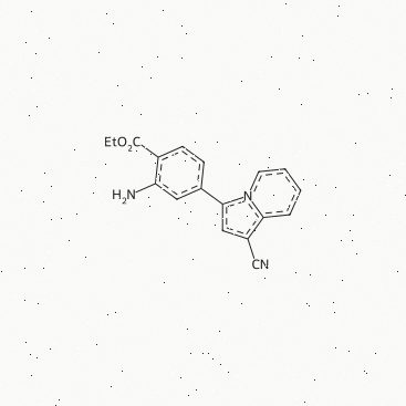 CCOC(=O)c1ccc(-c2cc(C#N)c3ccccn23)cc1N